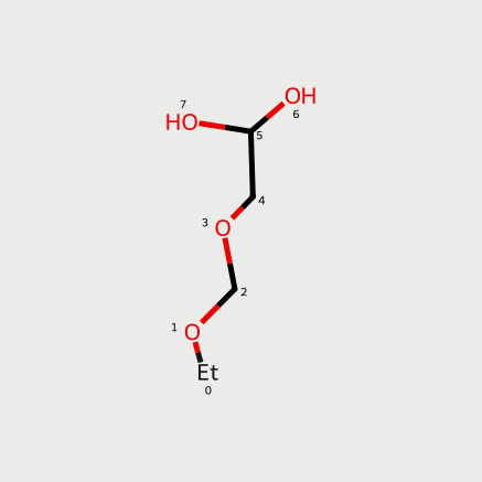 CCOCOCC(O)O